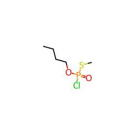 CCCCOP(=O)(Cl)SC